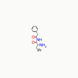 CC(C)C[C@H](N)C(=O)NC(=O)Cc1ccccc1